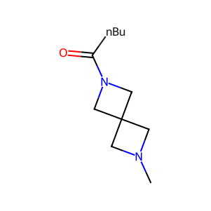 CCCCC(=O)N1CC2(CN(C)C2)C1